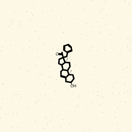 CC(=O)C1(Cc2ccccc2)CCC2C3CC=C4C[C@@H](O)CC[C@]4(C)C3CC[C@@]21C